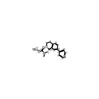 CN(C[C@@H]1OCCc2ccc(-c3ccncc3)cc21)C(=O)OC(C)(C)C